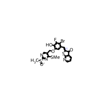 CSc1nc([S+](C)[O-])ncc1COc1cc(/C=C2\Sc3ncccc3C2=O)c(Br)c(F)c1O